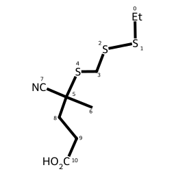 CCSSCSC(C)(C#N)CCC(=O)O